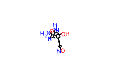 Cc1n[nH]c2c1C(c1cc(C#CC34CC(C(=O)N(C)C)(C3)C4)cc(CO)c1)(C(C)C)C(C#N)=C(N)O2